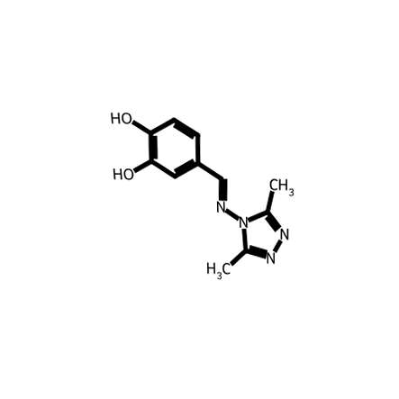 Cc1nnc(C)n1N=Cc1ccc(O)c(O)c1